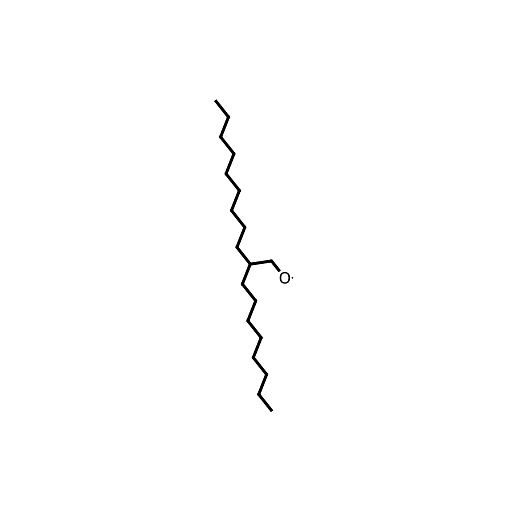 CCCCCCCCCC(C[O])CCCCCCCC